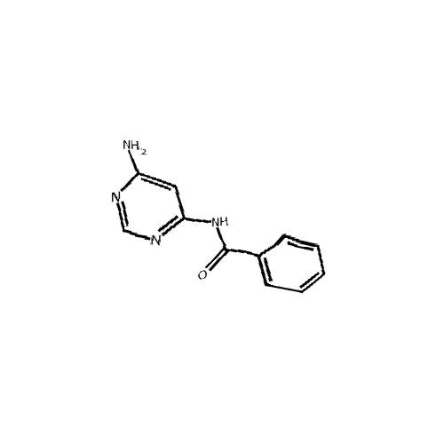 Nc1cc(NC(=O)c2ccccc2)ncn1